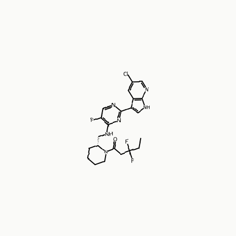 CCC(F)(F)CC(=O)N1CCCC[C@@H]1CNc1nc(-c2c[nH]c3ncc(Cl)cc23)ncc1F